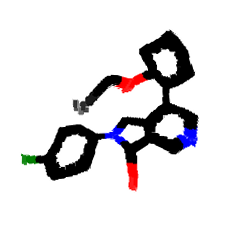 O=C1c2cncc(-c3ccccc3OCC(F)(F)F)c2CN1c1ccc(F)cc1